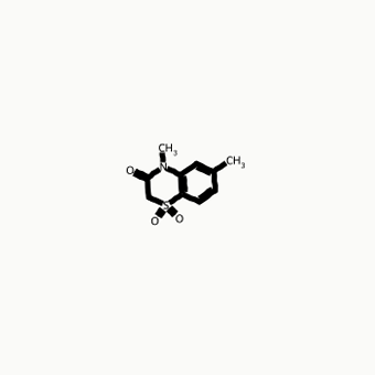 Cc1ccc2c(c1)N(C)C(=O)CS2(=O)=O